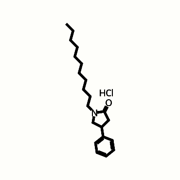 CCCCCCCCCCCN1CC(c2ccccc2)CC1=O.Cl